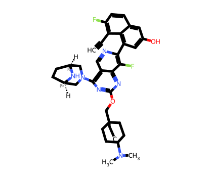 C#Cc1c(F)ccc2cc(O)cc(-c3ncc4c(N5C[C@H]6CC[C@@H](C5)N6)nc(OCC56CCC(N(C)C)(CC5)CC6)nc4c3F)c12